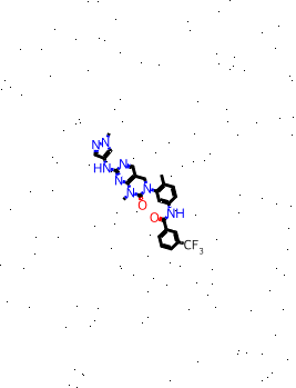 Cc1ccc(NC(=O)c2cccc(C(F)(F)F)c2)cc1N1Cc2cnc(Nc3cnn(C)c3)nc2N(C)C1=O